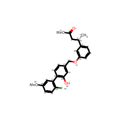 COC(=O)C[C@H](C)c1cccc(OCc2ccc(-c3cc(OC)ccc3F)c(O)c2)c1